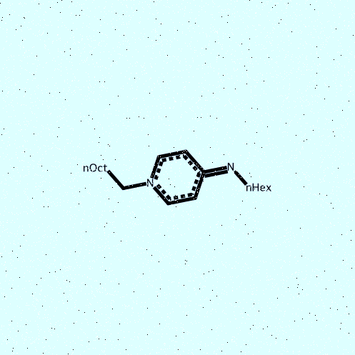 CCCCCCCCCn1ccc(=NCCCCCC)cc1